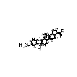 CCN1CCC[C@@H](Nc2nnc(-c3ccc4c(c3O)CCC4=C(F)F)c(C)c2C)C1